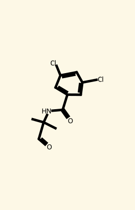 CC(C)(C=O)NC(=O)c1cc(Cl)cc(Cl)c1